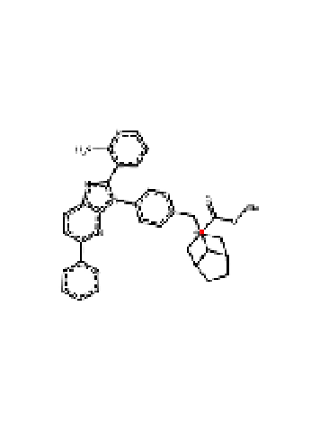 CC(C)(C)OC(=O)NC1C2CCC1CN(Cc1ccc(-n3c(-c4cccnc4N)nc4ccc(-c5ccccc5)nc43)cc1)C2